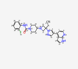 N#CCC1(n2cc(-c3ccnc4[nH]ccc34)cn2)CN(C2CCN(C(=O)Nc3ccccc3F)CC2)C1